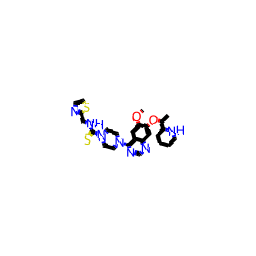 COc1cc2c(N3CCN(C(=S)NCc4nccs4)CC3)ncnc2cc1OC(C)C1CCCCN1